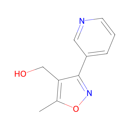 Cc1onc(-c2cccnc2)c1CO